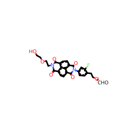 O=COCCc1ccc(N2C(=O)c3ccc4c5c(ccc(c35)C2=O)C(=O)N(CCOCCO)C4=O)cc1F